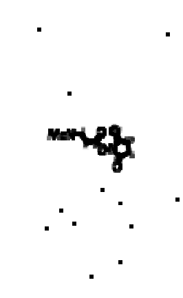 CNCCC(=O)ON1C(=O)CCC1=O